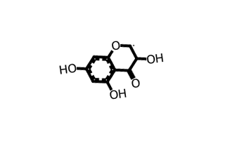 O=C1c2c(O)cc(O)cc2O[CH]C1O